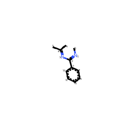 C/N=C(\N=C(C)C)c1ccccc1